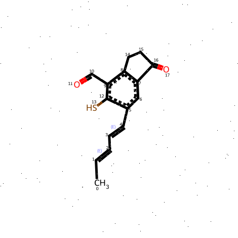 C/C=C/C=C/c1cc2c(c(C=O)c1S)CCC2=O